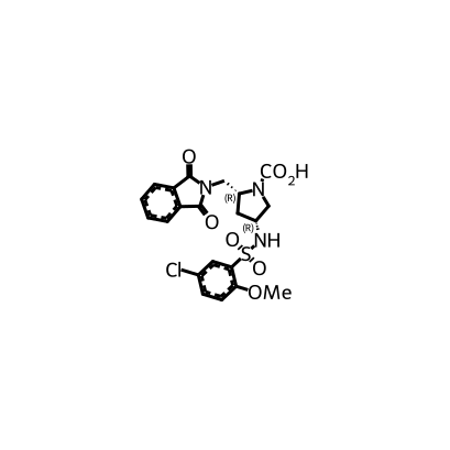 COc1ccc(Cl)cc1S(=O)(=O)N[C@@H]1C[C@H](CN2C(=O)c3ccccc3C2=O)N(C(=O)O)C1